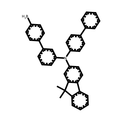 Bc1ccc(-c2cccc(N(c3ccc(-c4ccccc4)cc3)c3ccc4c(c3)C(C)(C)c3ccccc3-4)c2)cc1